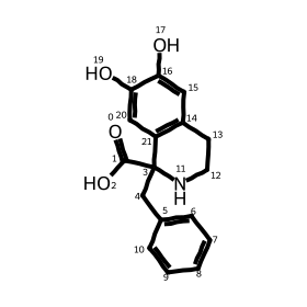 O=C(O)C1(Cc2ccccc2)NCCc2cc(O)c(O)cc21